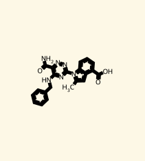 Cc1cc2c(C(=O)O)cccc2n1-c1nnc(C(N)=O)c(NCc2ccccc2)n1